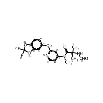 CN(C(=O)C(C)(C)NC=O)c1ccnc(Oc2ccc3c(c2)OC(F)(F)O3)c1